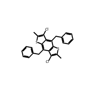 Cc1sc2c(Cc3ccccc3)c3c(Cl)c(C)sc3c(Cc3ccccc3)c2c1Cl